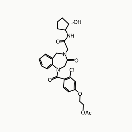 CC(=O)OCCOc1ccc(C(=O)N2CC(=O)N(CC(=O)NC3CCC[C@@H]3O)Cc3ccccc32)c(Cl)c1